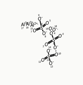 O=S(=O)([O-])[O-].O=S(=O)([O-])[O-].O=S(=O)([O-])[O-].[Al+2].[Al+3].[Al+3].[O-].[O-]